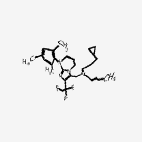 CCCN(CCC1CC1)Cc1c(C(F)(F)F)nc2n1CCCN2c1c(C)cc(C)cc1C